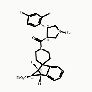 CCOC(=O)[C@@H]1[C@H]2c3ccccc3C3(CCN(C(=O)[C@@H]4CN(C(C)(C)C)C[C@H]4c4ccc(F)cc4F)CC3)[C@@H]12